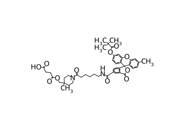 Cc1ccc2c(c1)Oc1cc(OC(=O)C(C)(C)C)ccc1C21OC(=O)c2cc(C(=O)NCCCCCC(=O)N3CCC(C)(COC(=O)CCC(=O)O)CC3)ccc21